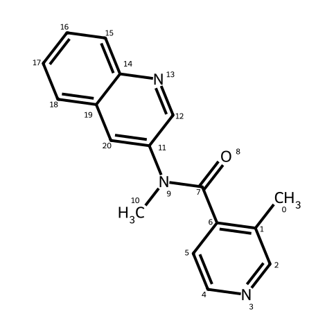 Cc1cnccc1C(=O)N(C)c1cnc2ccccc2c1